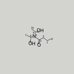 CCCC(=O)N(C(C)O)C(C)O